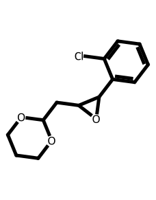 Clc1ccccc1C1OC1CC1OCCCO1